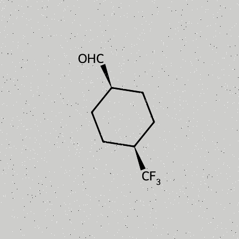 O=C[C@H]1CC[C@@H](C(F)(F)F)CC1